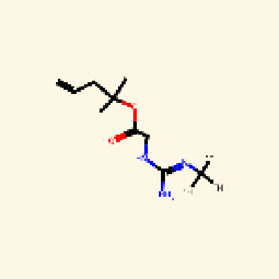 [2H]C([2H])([2H])N=C(N)NCC(=O)OC(C)(C)CC=C